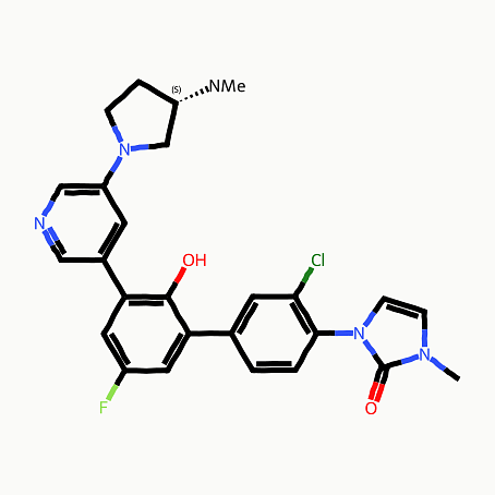 CN[C@H]1CCN(c2cncc(-c3cc(F)cc(-c4ccc(-n5ccn(C)c5=O)c(Cl)c4)c3O)c2)C1